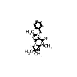 Cc1nc2c(n1Cc1ccccc1)C(=O)N(C)C1=NC(C)(C)CN12